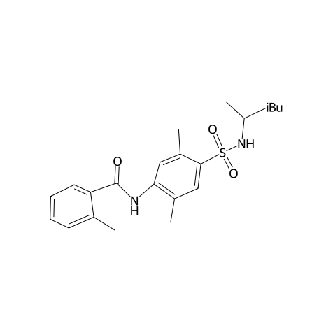 CCC(C)C(C)NS(=O)(=O)c1cc(C)c(NC(=O)c2ccccc2C)cc1C